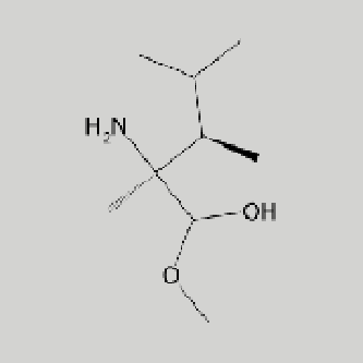 COC(O)[C@@](C)(N)[C@H](C)C(C)C